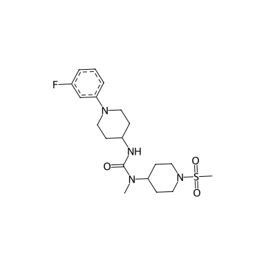 CN(C(=O)NC1CCN(c2cccc(F)c2)CC1)C1CCN(S(C)(=O)=O)CC1